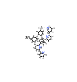 CC(C)(C)c1ccc(C2=C(c3cccc(-c4cccnc4)n3)[Si](C)(C)C(c3cccc(-c4ccccn4)n3)=C2c2ccc(C(C)(C)C)cc2)cc1